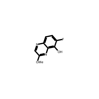 COc1cnc2ccc(F)c(O)c2n1